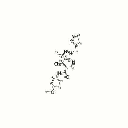 COc1ccc(NC(=O)c2cnc3c(c(C)nn3CC3=NN=CC3)c2Cl)cc1